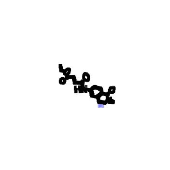 C=N/C=C\c1cc(NC(=O)CCC(=O)OCC)ccc1C=O